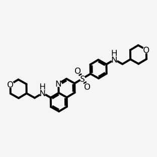 O=S(=O)(c1ccc(NCC2CCOCC2)cc1)c1cnc2c(NCC3CCOCC3)cccc2c1